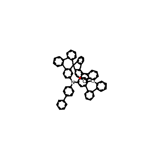 c1ccc(-c2ccc(N(c3ccc4c(c3)-c3ccccc3-c3ccccc3O4)c3ccc4c(c3)C3(c5ccccc5-c5ccccc5-4)c4ccccc4-c4c3ccc3oc5ccccc5c43)cc2)cc1